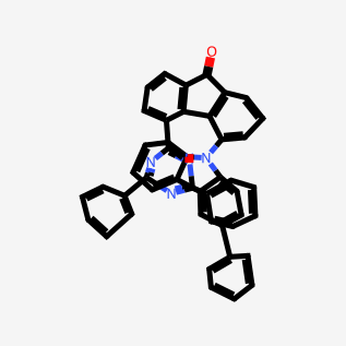 O=C1c2cccc(-c3nc(-c4ccccc4)nc(-c4ccccc4)n3)c2-c2c1cccc2-n1c2ccccc2c2cc(-c3ccccc3)ccc21